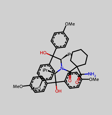 COc1ccc(C(O)(c2ccc(OC)cc2)[C@@H](C(C)C)N(C(=O)C2(C(N)=O)CCCCC2)[C@H](C(C)C)C(O)(c2ccc(OC)cc2)c2ccc(OC)cc2)cc1